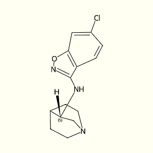 Clc1ccc2c(N[C@@H]3CN4CCC3CC4)noc2c1